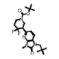 Cn1c(=O)n(CC(C)(C)C)c2ccc(C3CN(C(=O)OC(C)(C)C)CCC3(F)F)nc21